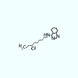 CCCC(Cl)CCCCCCNc1ncnc2ccccc12